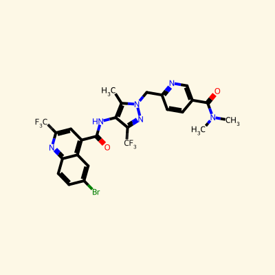 Cc1c(NC(=O)c2cc(C(F)(F)F)nc3ccc(Br)cc23)c(C(F)(F)F)nn1Cc1ccc(C(=O)N(C)C)cn1